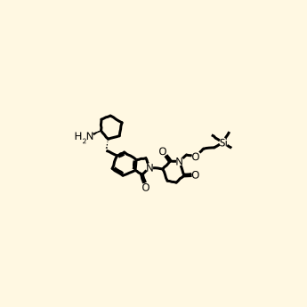 C[Si](C)(C)CCOCN1C(=O)CCC(N2Cc3cc(C[C@H]4CCCC[C@@H]4N)ccc3C2=O)C1=O